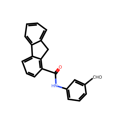 O=Cc1cccc(NC(=O)c2cccc3c2Cc2ccccc2-3)c1